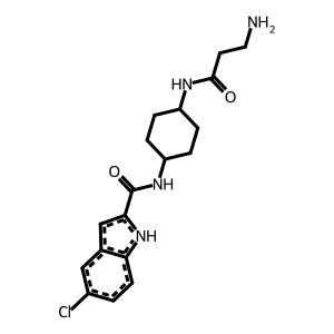 NCCC(=O)NC1CCC(NC(=O)c2cc3cc(Cl)ccc3[nH]2)CC1